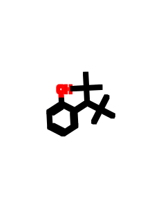 CC(C)(C)C(c1ccccc1O)C(C)(C)C